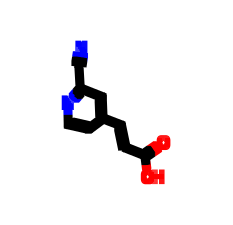 N#Cc1cc(C=CC(=O)O)ccn1